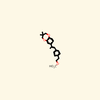 C/C(=C\c1ccc(CCOC(=O)O)cc1)c1ccc2c(c1)OCC(C)(C)CO2